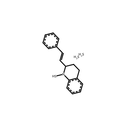 S.S.SN1c2ccccc2CCC1C=Cc1ccccc1